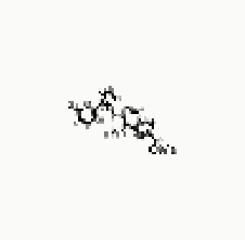 CCCc1c(Cn2ccnc2-c2cccc(F)n2)ncn2nc(COC)nc12